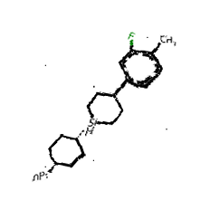 CCC[C@H]1CC[C@H]([SiH]2CCC(c3ccc(C)c(F)c3)CC2)CC1